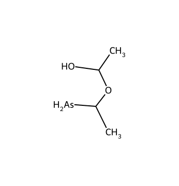 CC(O)OC(C)[AsH2]